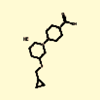 Cl.O=C(O)N1CCC(N2CCCC(OCC3CC3)C2)CC1